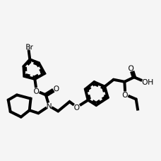 CCOC(Cc1ccc(OCCN(CC2CCCCC2)C(=O)Oc2ccc(Br)cc2)cc1)C(=O)O